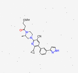 COCCC(=O)N1CCN(c2nc(C3CC3)c(-c3cccc(-c4cc[nH]n4)c3)cc2C#N)C[C@H]1C